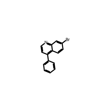 Brc1ccc2c(-c3ccccc3)ccnc2c1